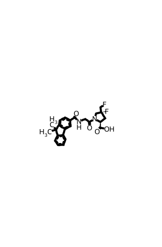 CC1(C)c2ccccc2-c2cc(C(=O)NCC(=O)N3C[C@@](F)(CF)C[C@H]3C(=O)O)ccc21